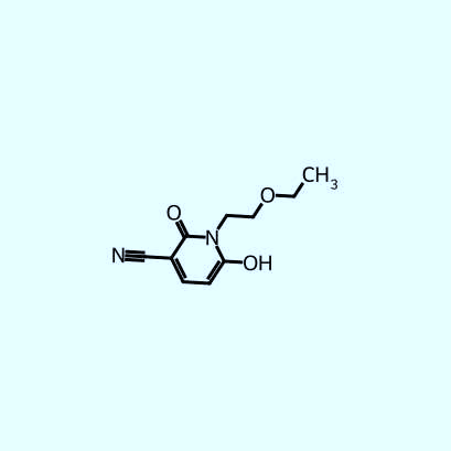 CCOCCn1c(O)ccc(C#N)c1=O